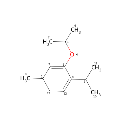 CC1C=C(OC(C)C)C(C(C)C)=CC1